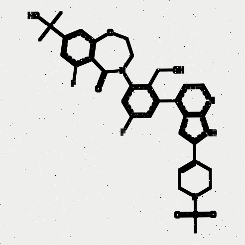 CC(C)(O)c1cc(F)c2c(c1)OCCN(c1cc(F)cc(-c3ccnc4[nH]c(C5=CCN(S(C)(=O)=O)CC5)cc34)c1CO)C2=O